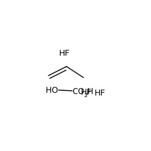 C=CC.F.F.F.O=C(O)O